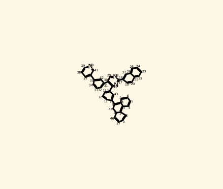 C1=CC2=c3ccccc3=C(c3cccc(-c4nc(-c5ccc6ccccc6c5)ncc4-c4cccc(-c5cccnc5)c4)c3)CC2C=C1